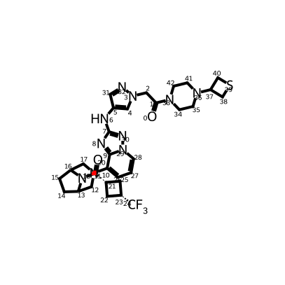 O=C(Cn1cc(Nc2nc3c(N4CC5CCC(C4)N5C(=O)[C@H]4C[C@@H](C(F)(F)F)C4)cccn3n2)cn1)N1CCN(C2CSC2)CC1